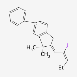 CC/C=C(I)\C=C1/Cc2ccc(-c3ccccc3)cc2C1(C)C